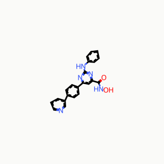 O=C(NO)c1cc(-c2ccc(-c3cccnc3)cc2)nc(Nc2ccccc2)n1